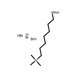 Br.Br.Br.CCCCCCCCCCCCCCCC[N+](C)(C)C